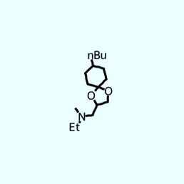 CCCCC1CCC2(CC1)OCC(CN(C)CC)O2